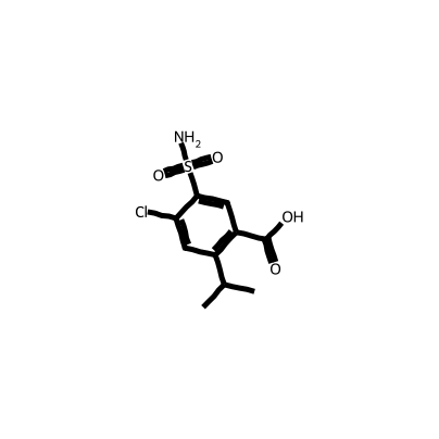 CC(C)c1cc(Cl)c(S(N)(=O)=O)cc1C(=O)O